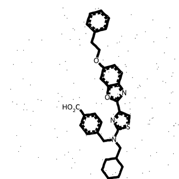 O=C(O)c1ccc(CN(CC2CCCCC2)c2nc(-c3nc4ccc(OCCc5ccccc5)cc4o3)cs2)cc1